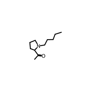 CCCCCN1CCCC1C(C)=O